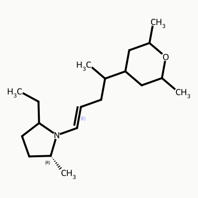 CCC1CC[C@@H](C)N1/C=C/CC(C)C1CC(C)OC(C)C1